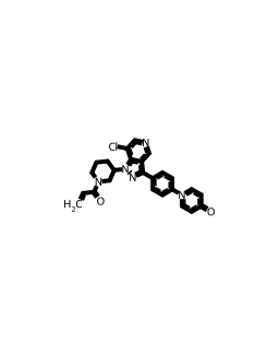 C=CC(=O)N1CCCC(n2nc(-c3ccc(-n4ccc(=O)cc4)cc3)c3cncc(Cl)c32)C1